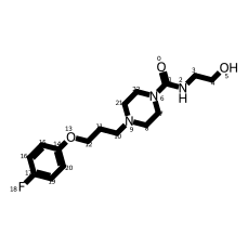 O=C(NCCO)N1CCN(CCCOc2ccc(F)cc2)CC1